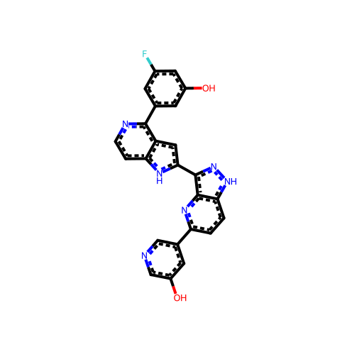 Oc1cncc(-c2ccc3[nH]nc(-c4cc5c(-c6cc(O)cc(F)c6)nccc5[nH]4)c3n2)c1